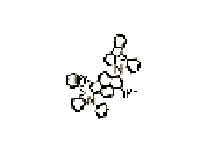 CC(C)c1cc(N(c2ccccc2)c2ccccc2SC2=CC=CCC2)c2ccc3c(C(C)C)cc(N(c4ccccc4)c4cccc5c4sc4ccccc45)c4ccc1c2c34